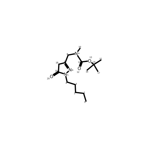 CCCCCN1N=C(CN(C)C(=O)OC(C)(C)C)CC1=O